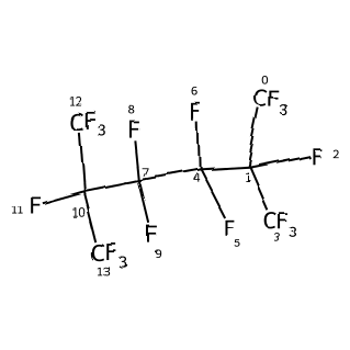 FC(F)(F)C(F)(C(F)(F)F)C(F)(F)C(F)(F)C(F)(C(F)(F)F)C(F)(F)F